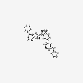 c1cc(N2CCCCC2)c2cc(-c3n[nH]c4cnc(-c5cncc(CN6CCCC6)c5)cc34)[nH]c2n1